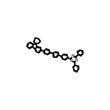 c1ccc(-c2nc(-c3ccccc3)nc(-c3ccc(-c4ccc(-c5ccc(-c6ccc7c(c6)C6(CCCCC6)c6ccccc6-7)cc5)cc4)cc3)n2)cc1